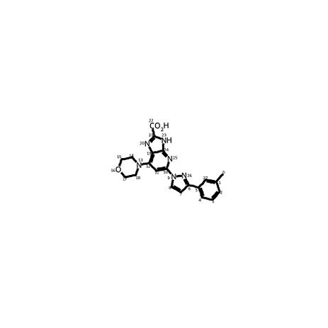 Cc1cccc(-c2ccn(-c3cc(N4CCOCC4)c4nc(C(=O)O)[nH]c4n3)n2)c1